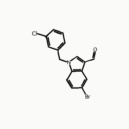 O=Cc1cn(Cc2cccc(Cl)c2)c2ccc(Br)cc12